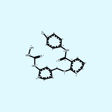 CCCNC(=O)Nc1cc(CSc2ncccc2C(=O)Nc2ccc(Cl)cc2)ccn1